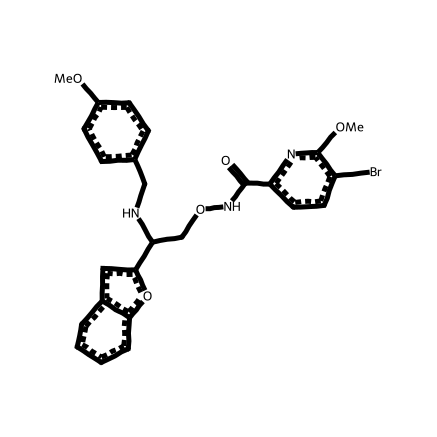 COc1ccc(CNC(CONC(=O)c2ccc(Br)c(OC)n2)c2cc3ccccc3o2)cc1